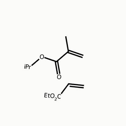 C=C(C)C(=O)OC(C)C.C=CC(=O)OCC